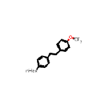 CCCCCCc1ccc(CCc2ccc(OC(F)(F)F)cc2)cc1